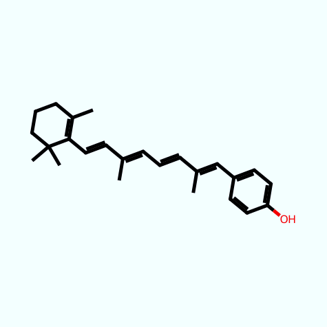 CC1=C(/C=C/C(C)=C/C=C/C(C)=C/c2ccc(O)cc2)C(C)(C)CCC1